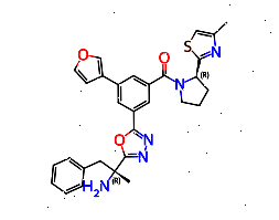 Cc1csc([C@H]2CCCN2C(=O)c2cc(-c3ccoc3)cc(-c3nnc([C@](C)(N)Cc4ccccc4)o3)c2)n1